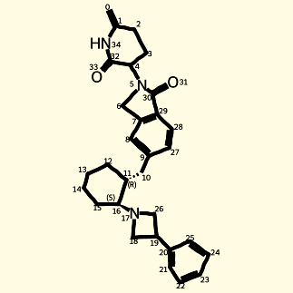 C=C1CCC(N2Cc3cc(C[C@H]4CCCC[C@@H]4N4CC(c5ccccc5)C4)ccc3C2=O)C(=O)N1